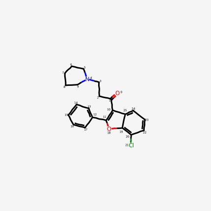 O=C(CCN1CCCCC1)c1c(-c2ccccc2)oc2c(Cl)cccc12